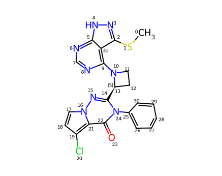 CSc1n[nH]c2ncnc(N3CC[C@H]3c3nn4ccc(Cl)c4c(=O)n3-c3ccccc3)c12